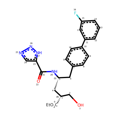 CCOC(=O)[C@@H](CO)C[C@@H](Cc1ccc(-c2cccc(F)c2)cc1)NC(=O)c1cnn[nH]1